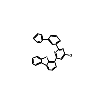 Clc1cc(-c2cccc3c2sc2ccccc23)nc(-c2cccc(-c3ccccc3)c2)n1